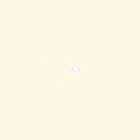 [O]C(=O)C(NC(=O)c1ccccc1)c1ccccc1